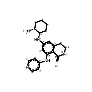 N[C@H]1CCCC[C@H]1Nc1cc2c(c(Nc3ccncc3)c1)C(=O)NCC2